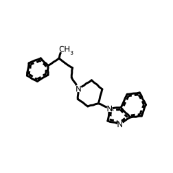 CC(CCN1CCC(n2cnc3ccccc32)CC1)c1ccccc1